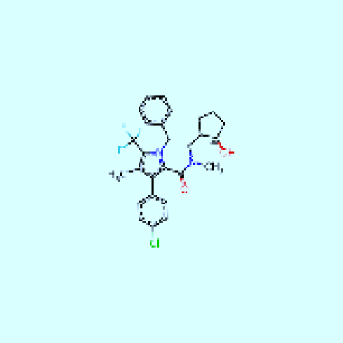 Cc1c(-c2ccc(Cl)cc2)c(C(=O)N(C)CC2CCC[C@H]2O)n(Cc2ccccc2)c1C(F)(F)F